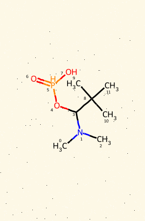 CN(C)C(O[PH](=O)O)C(C)(C)C